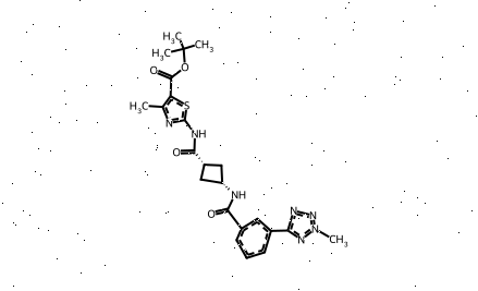 Cc1nc(NC(=O)[C@H]2C[C@@H](NC(=O)c3cccc(-c4nnn(C)n4)c3)C2)sc1C(=O)OC(C)(C)C